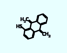 C=c1c2ccccc2c(=C)c2c(S)cccc12